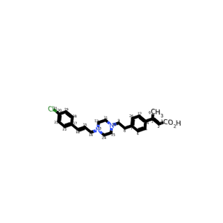 C/C(=C\C(=O)O)c1ccc(CCN2CCN(C/C=C/c3ccc(Cl)cc3)CC2)cc1